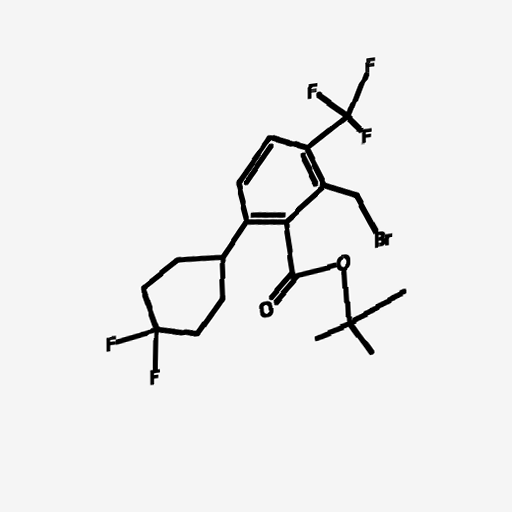 CC(C)(C)OC(=O)c1c(C2CCC(F)(F)CC2)ccc(C(F)(F)F)c1CBr